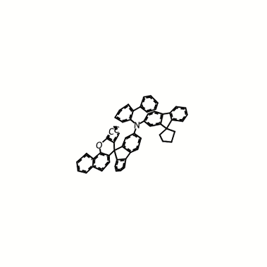 c1ccc(-c2ccccc2N(c2ccc3c(c2)C2(CCCC2)c2ccccc2-3)c2ccc3c(c2)C2(c4ccccc4Oc4c2ccc2ccccc42)c2ccccc2-3)cc1